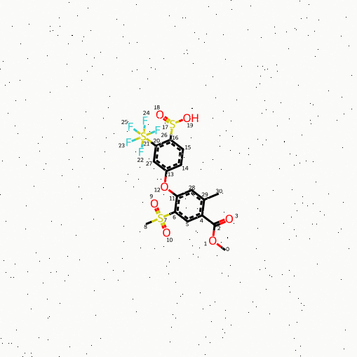 COC(=O)c1cc(S(C)(=O)=O)c(Oc2ccc(S(=O)O)c(S(F)(F)(F)(F)F)c2)cc1C